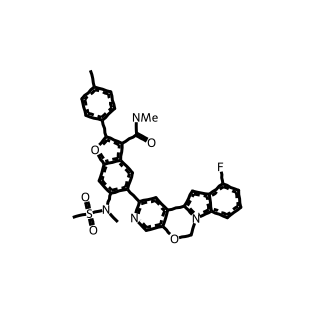 CNC(=O)c1c(-c2ccc(C)cc2)oc2cc(N(C)S(C)(=O)=O)c(-c3cc4c(cn3)OCn3c-4cc4c(F)cccc43)cc12